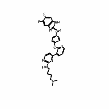 CN(C)CCCCNc1nccc(-c2cccnc2Oc2ccc(Nc3nc4cc(F)c(F)cc4[nH]3)cc2)n1